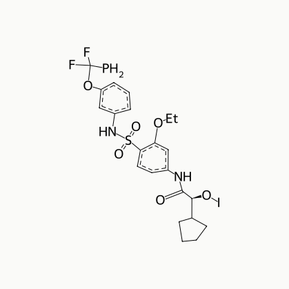 CCOc1cc(NC(=O)[C@@H](OI)C2CCCC2)ccc1S(=O)(=O)Nc1cccc(OC(F)(F)P)c1